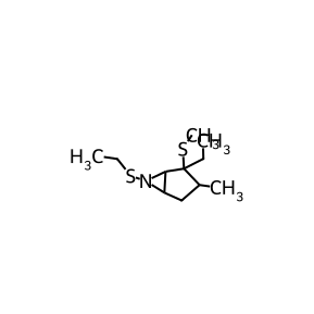 CCSN1C2CC(C)C(CC)(SC)C21